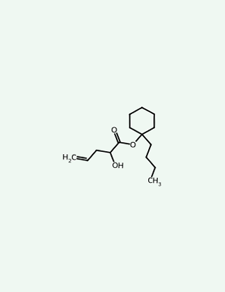 C=CCC(O)C(=O)OC1(CCCC)CCCCC1